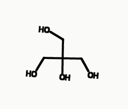 OCC(O)(CO)CO